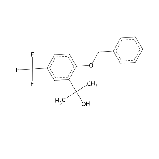 CC(C)(O)c1cc(C(F)(F)F)ccc1OCc1ccccc1